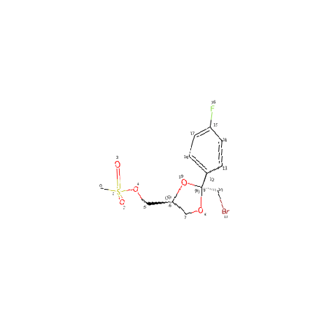 CS(=O)(=O)OC[C@@H]1CO[C@](CBr)(c2ccc(F)cc2)O1